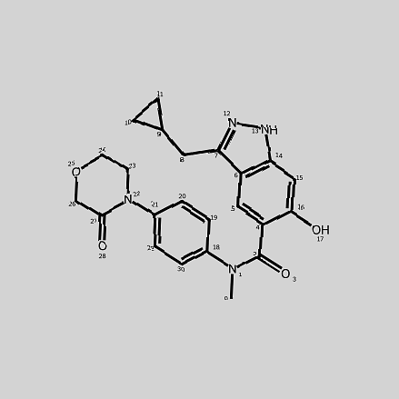 CN(C(=O)c1cc2c(CC3CC3)n[nH]c2cc1O)c1ccc(N2CCOCC2=O)cc1